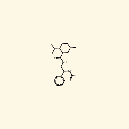 CC(=O)NC(CNC(=O)[C@@H]1C[C@H](C)CC[C@H]1C(C)C)c1ccccc1